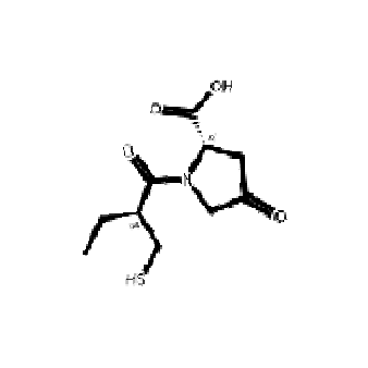 CC[C@H](CS)C(=O)N1CC(=O)C[C@H]1C(=O)O